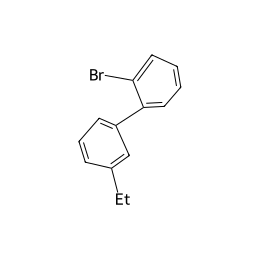 CCc1cccc(-c2ccccc2Br)c1